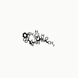 C=CC(=O)NNc1cc(Nc2ncc(C(=O)Nc3c(C)cccc3Cl)s2)nc(C)n1